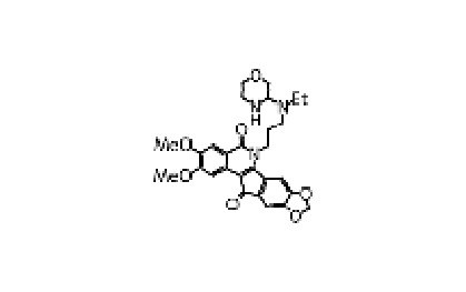 CCN(CCCn1c2c(c3cc(OC)c(OC)cc3c1=O)C(=O)c1cc3c(cc1-2)OCO3)C1COCCN1